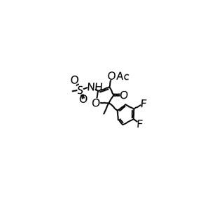 CC(=O)OC1=C(NS(C)(=O)=O)OC(C)(c2ccc(F)c(F)c2)C1=O